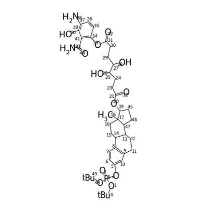 CC(C)(C)OP(=O)(Oc1ccc2c(c1)CCC1C2CCC2(C)C(OC(=O)CCC(O)C(O)CCC(=O)Oc3ccc(N)c(O)c3C(N)=O)CCC12)OC(C)(C)C